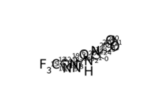 Cc1cc(NC(=O)c2cnn(-c3ccc(C(F)(F)F)cn3)c2C)cnc1C1CCC2(CC1)OCCO2